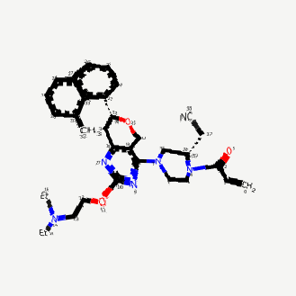 C=CC(=O)N1CCN(c2nc(OCCN(CC)CC)nc3c2CO[C@@H](c2cccc4cccc(C)c24)C3)C[C@@H]1CC#N